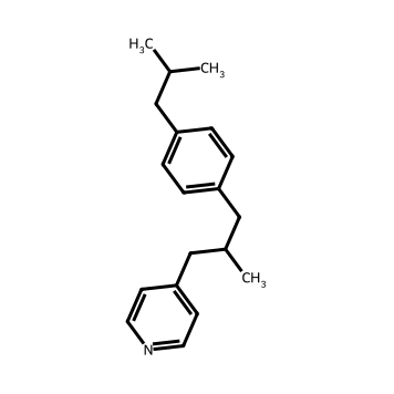 CC(C)Cc1ccc(CC(C)Cc2ccncc2)cc1